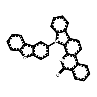 O=c1oc2c(ccc3c4ccccc4n(-c4ccc5oc6ccccc6c5c4)c32)c2ccccc12